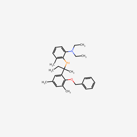 CCN(CC)c1cccc(C)c1PC(C)(CC)c1cc(C)cc(C)c1OCc1ccccc1